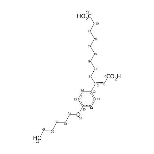 O=C(O)/C=C(\CCCCCCCCC(=O)O)c1ccc(OCCCCCO)cc1